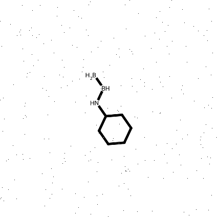 BBNC1CCCCC1